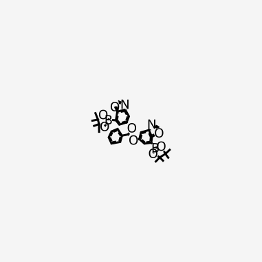 CC1(C)OB(c2cc(OC(Oc3cc(B4OC(C)(C)C(C)(C)O4)c4ocnc4c3)c3ccccc3)cc3ncoc23)OC1(C)C